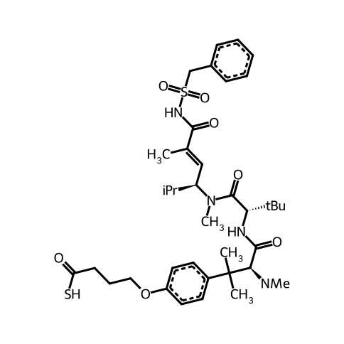 CN[C@H](C(=O)N[C@H](C(=O)N(C)[C@H](/C=C(\C)C(=O)NS(=O)(=O)Cc1ccccc1)C(C)C)C(C)(C)C)C(C)(C)c1ccc(OCCCC(=O)S)cc1